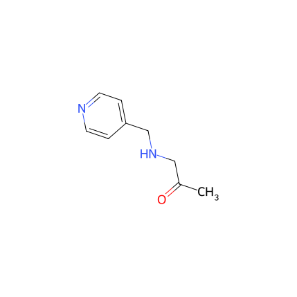 CC(=O)CNCc1ccncc1